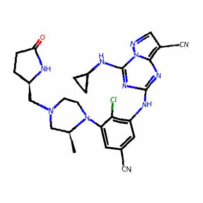 C[C@H]1CN(C[C@H]2CCC(=O)N2)CCN1c1cc(C#N)cc(Nc2nc(NC3CC3)n3ncc(C#N)c3n2)c1Cl